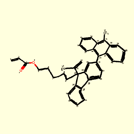 C=CC(=O)OCCCCCC1(C(=C)CC)c2ccccc2-c2ccc(-c3c4ccccc4c(C(F)(F)F)c4ccccc34)cc21